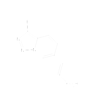 Cc1nnn2cc(C=CC(=O)O)ccc12